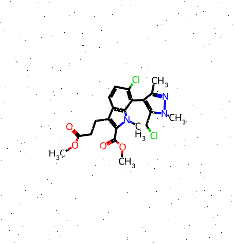 COC(=O)CCc1c(C(=O)OC)n(C)c2c(-c3c(C)nn(C)c3CCl)c(Cl)ccc12